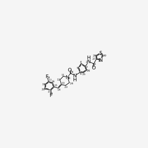 O=C(Nc1ccc(NC(=O)N2CCC(=Cc3cc(F)ccc3F)CC2)cc1)c1cscn1